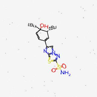 CC(C)(C)C1C=C(c2cn3nc(S(N)(=O)=O)sc3n2)C=CC1(O)C(C)(C)C